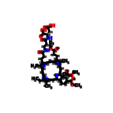 C=Cc1c(C)c2cc3nc(cc4[nH]c(cc5nc(cc1[nH]2)C(C)=C5CCC(=O)NCCC(=O)N[C@@H](CC(=O)O)C(=O)O)c(CCC(=O)OC)c4C)[C@@]1(C)C3=CC=C(C(=O)OC)[C@H]1C(=O)OC